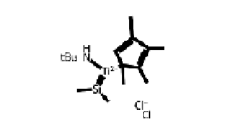 CC1=C[C](C)([Ti+2]([NH]C(C)(C)C)=[Si](C)C)C(C)=C1C.[Cl-].[Cl-]